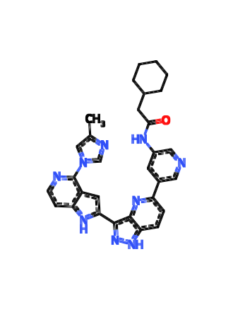 Cc1cn(-c2nccc3[nH]c(-c4n[nH]c5ccc(-c6cncc(NC(=O)CC7CCCCC7)c6)nc45)cc23)cn1